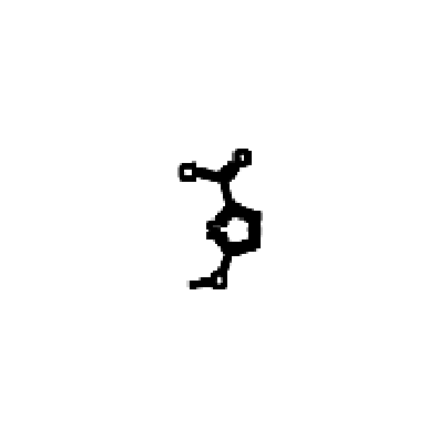 COc1ccc(C(=O)Cl)s1